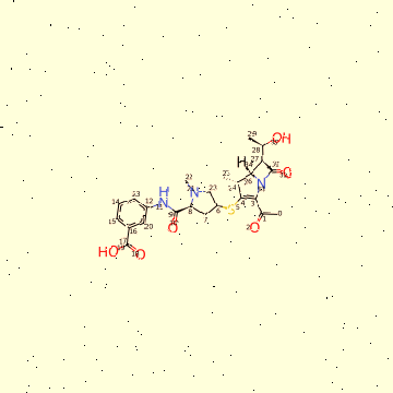 CC(=O)C1=C(S[C@H]2C[C@@H](C(=O)Nc3cccc(C(=O)O)c3)N(C)C2)[C@H](C)[C@@H]2[C@@H]([C@@H](C)O)C(=O)N12